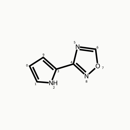 c1c[nH]c(-c2ncon2)c1